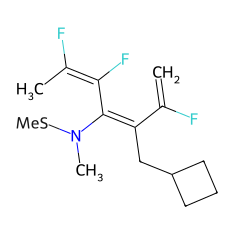 C=C(F)/C(CC1CCC1)=C(\C(F)=C(/C)F)N(C)SC